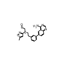 Cc1cc([C@H](CCc2cccc(-c3ccc4ncnc(N)c4c3)c2)CN=O)no1